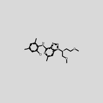 COCC[C@@H](COC)n1nnc2c(Nc3c(C)cc(C)cc3Cl)nc(C)cc21